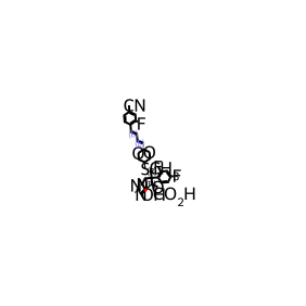 C[C@@H](S[C@H]1CO[C@H](/C=C/C=C/c2ccc(C#N)cc2F)OC1)C(Cn1cncn1)(c1ccc(F)cc1F)[C@H](CO)OC(=O)O